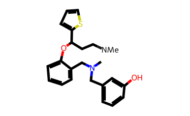 CNCCC(Oc1ccccc1CN(C)Cc1cccc(O)c1)c1cccs1